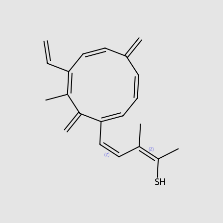 C=Cc1ccc(=C)cccc(/C=C\C(C)=C(\C)S)c(=C)c1C